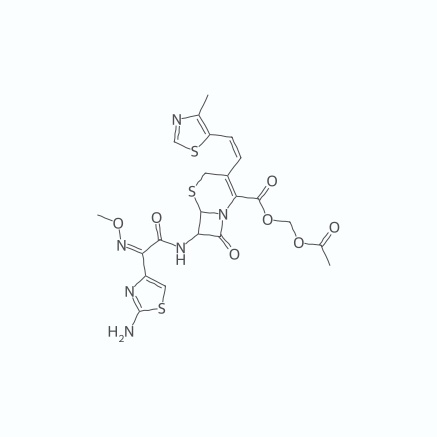 CO/N=C(\C(=O)NC1C(=O)N2C(C(=O)OCOC(C)=O)=C(/C=C\c3scnc3C)CSC12)c1csc(N)n1